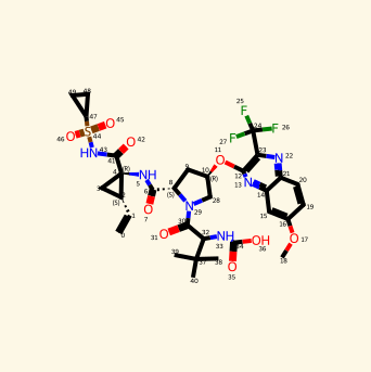 C=C[C@@H]1C[C@]1(NC(=O)[C@@H]1C[C@@H](Oc2nc3cc(OC)ccc3nc2C(F)(F)F)CN1C(=O)C(NC(=O)O)C(C)(C)C)C(=O)NS(=O)(=O)C1CC1